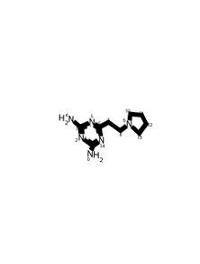 Nc1nc(N)nc(CCN2CCCC2)n1